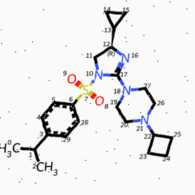 CC(C)c1ccc(S(=O)(=O)N2C[C@@H](C3CC3)N=C2N2CCN(C3CCC3)CC2)cc1